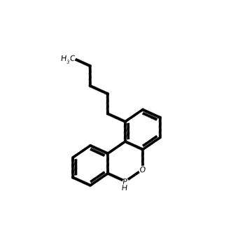 CCCCCc1cccc2c1-c1ccccc1PO2